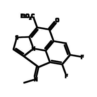 CCOC(=O)c1c(=O)c2cc(F)c(F)c3c(=NC)c4csc1n4c23